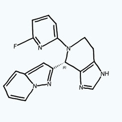 Fc1cccc(N2CCc3[nH]cnc3[C@@H]2c2cc3ccccn3n2)n1